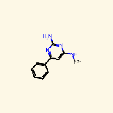 CCCNc1cc(-c2ccccc2)nc(N)n1